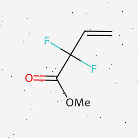 C=CC(F)(F)C(=O)OC